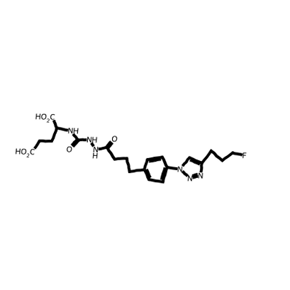 O=C(O)CCC(NC(=O)NNC(=O)CCCc1ccc(-n2cc(CCCF)nn2)cc1)C(=O)O